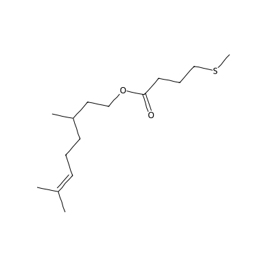 CSCCCC(=O)OCCC(C)CCC=C(C)C